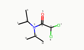 CC(C)N(C(=O)C(Cl)Cl)C(C)C